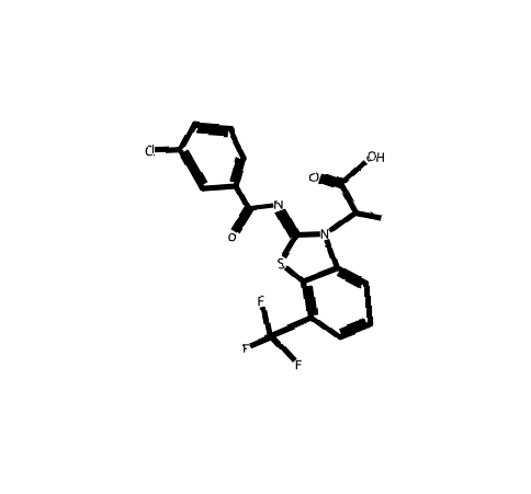 CC(C(=O)O)n1/c(=N/C(=O)c2cccc(Cl)c2)sc2c(C(F)(F)F)cccc21